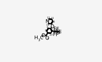 COC(=O)c1ccc(Oc2cccnc2)c(C(F)(F)C(F)(F)F)c1